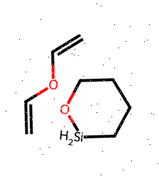 C1CC[SiH2]OC1.C=COC=C